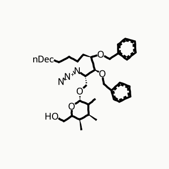 CCCCCCCCCCCCCC[C@@H](OCc1ccccc1)[C@@H](OCc1ccccc1)[C@H](CO[C@H]1OC(CO)[C@H](C)[C@H](C)C1C)N=[N+]=[N-]